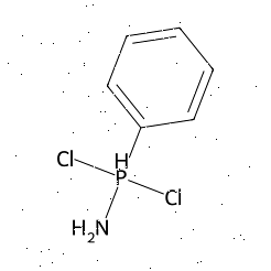 N[PH](Cl)(Cl)c1ccccc1